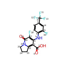 O=C(O)c1c(Nc2ccc(C(F)(F)F)cc2F)c(F)c(=O)n2c1CCC2